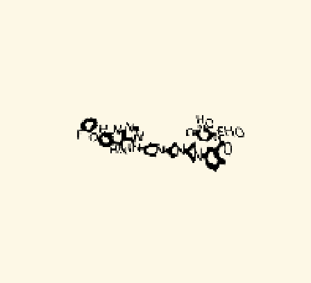 Cc1ccc(N2CC(N3CC(N4CCC(Nc5ncnc(N)c5C(=N)c5ccc(Oc6ccccc6F)cc5)CC4)C3)C2)cc1C(=O)N(C=O)C1CCC(=O)NC1=O